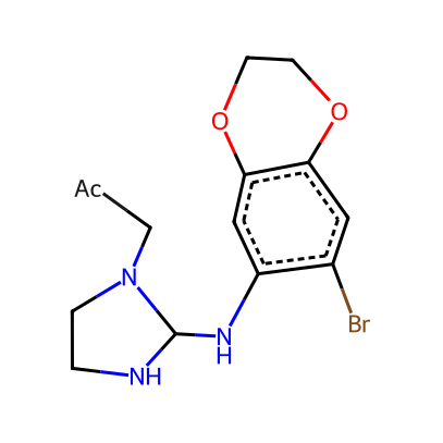 CC(=O)CN1CCNC1Nc1cc2c(cc1Br)OCCO2